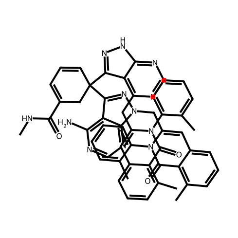 CNC(=O)C1=CC=CC(c2n[nH]c3ncnc(Cc4cc5cccc(C)c5c(=O)n4-c4ccccc4C)c23)(c2nn(Cc3cc4cccc(C)c4c(=O)n3-c3ccccc3C)c3ncnc(N)c23)C1